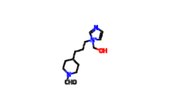 O=CN1CCC(CCC[N+]2(CO)C=CN=C2)CC1